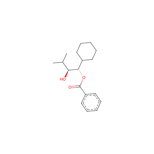 CC(C)[C@H](O)[C@@H](OC(=O)c1ccccc1)C1CCCCC1